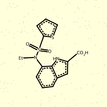 CCN(c1cccc2cc(C(=O)O)[nH]c12)S(=O)(=O)c1cccs1